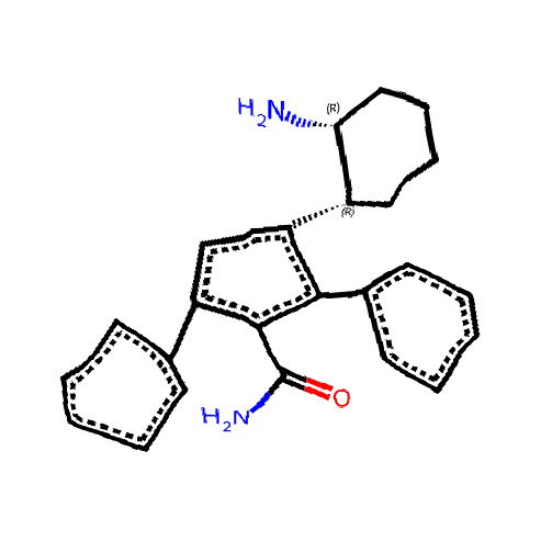 NC(=O)c1c(-c2ccccc2)ccc([C@H]2CCCC[C@H]2N)c1-c1ccccc1